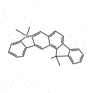 CC1(C)c2ccccc2-c2ccc3cc4c(cc3c21)-c1ccccc1[Si]4(C)C